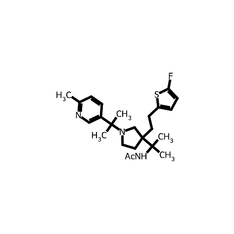 CC(=O)NC(C)(C)C1(CCc2ccc(F)s2)CCN(C(C)(C)c2ccc(C)nc2)C1